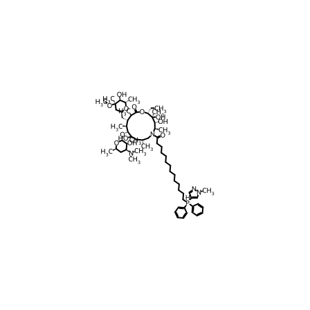 CC[C@H]1OC(=O)[C@H](C)[C@@H](C[C@H]2C[C@@](C)(OC)[C@@H](O)[C@H](C)O2)[C@H](C)[C@@H](O[C@@H]2O[C@H](C)C[C@H](N(C)C)[C@H]2O)[C@](C)(O)C[C@@H](C)CN(C(=O)CCCCCCCCCCCCC[PH](c2ccccc2)(c2ccccc2)c2cnn(C)c2)[C@H](C)[C@@H](O)[C@]1(C)O